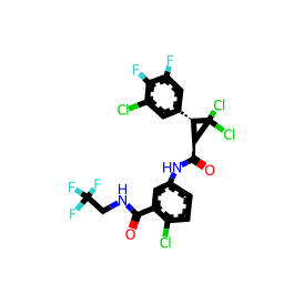 O=C(NCC(F)(F)F)c1cc(NC(=O)[C@H]2[C@H](c3cc(F)c(F)c(Cl)c3)C2(Cl)Cl)ccc1Cl